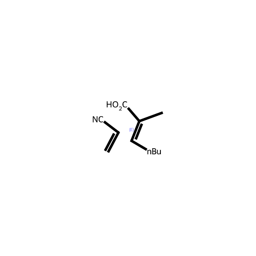 C=CC#N.CCCC/C=C(\C)C(=O)O